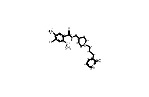 COc1cc(Cl)c(N)cc1C(=O)NCC1CCN(CC[CH]c2ccccc2Cl)CC1